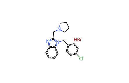 Br.Clc1ccc(Cn2c(CN3CCCC3)nc3ccccc32)cc1